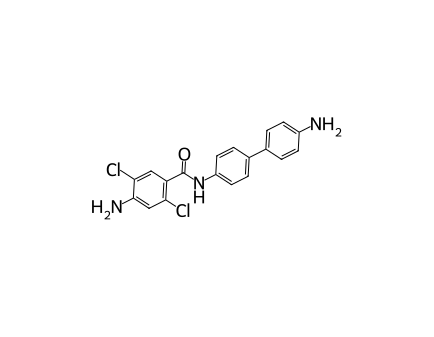 Nc1ccc(-c2ccc(NC(=O)c3cc(Cl)c(N)cc3Cl)cc2)cc1